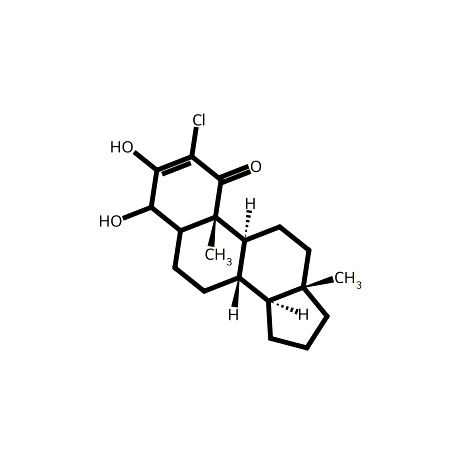 C[C@@]12CCC[C@H]1[C@@H]1CCC3C(O)C(O)=C(Cl)C(=O)[C@]3(C)[C@H]1CC2